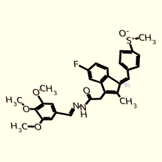 COc1cc(C=NNC(=O)CC2=C(C)/C(=C/c3ccc([S+](C)[O-])cc3)c3ccc(F)cc32)cc(OC)c1OC